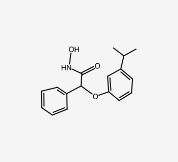 CC(C)c1cccc(OC(C(=O)NO)c2ccccc2)c1